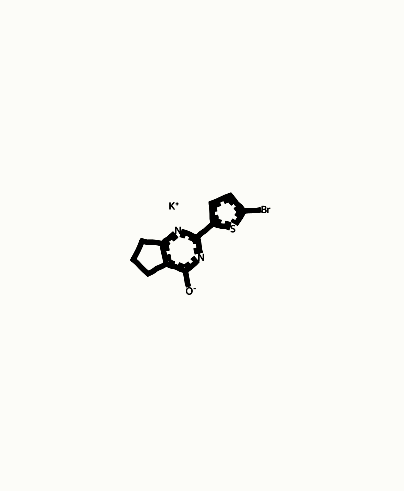 [K+].[O-]c1nc(-c2ccc(Br)s2)nc2c1CCC2